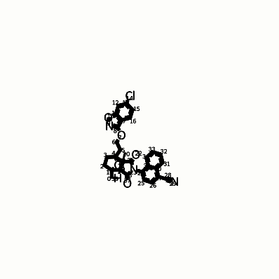 CC12CCC(CCOc3noc4cc(Cl)ccc34)(O1)[C@]1(C)C(=O)N(c3ccc(C#N)c4ccccc34)C(=O)[C@H]21